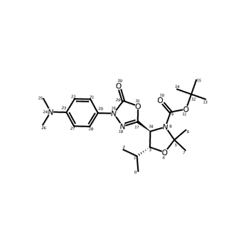 CC(C)[C@H]1OC(C)(C)N(C(=O)OC(C)(C)C)[C@@H]1c1nn(-c2ccc(N(C)C)cc2)c(=O)o1